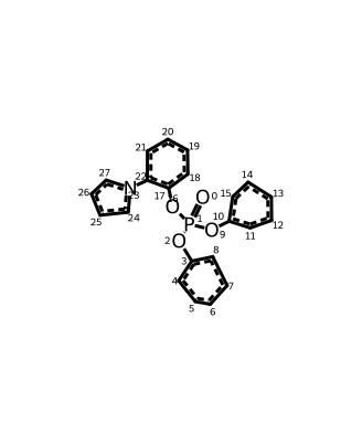 O=P(Oc1ccccc1)(Oc1ccccc1)Oc1ccccc1-n1cccc1